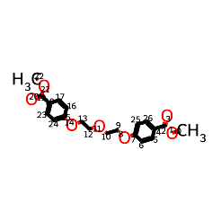 COC(=O)c1ccc(OCCOCCOc2ccc(C(=O)OC)cc2)cc1